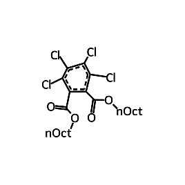 CCCCCCCCOC(=O)c1c(Cl)c(Cl)c(Cl)c(Cl)c1C(=O)OCCCCCCCC